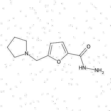 NNC(=O)c1ccc(CN2CCCC2)o1